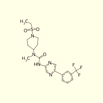 CCS(=O)(=O)N1CCC(N(C)C(=O)Nc2cnc(-c3cccc(C(F)(F)F)c3)cn2)CC1